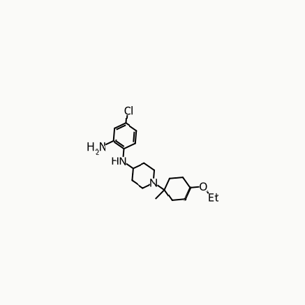 CCOC1CCC(C)(N2CCC(Nc3ccc(Cl)cc3N)CC2)CC1